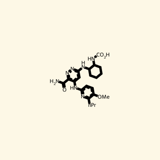 CCCc1nc(Nc2cc(NC3CCCCC3NC(=O)O)nnc2C(N)=O)ccc1OC